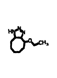 CCOC1CCCCCC2NN=NC21